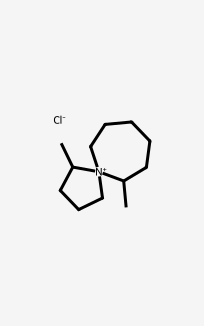 CC1CCCCC[N+]12CCCC2C.[Cl-]